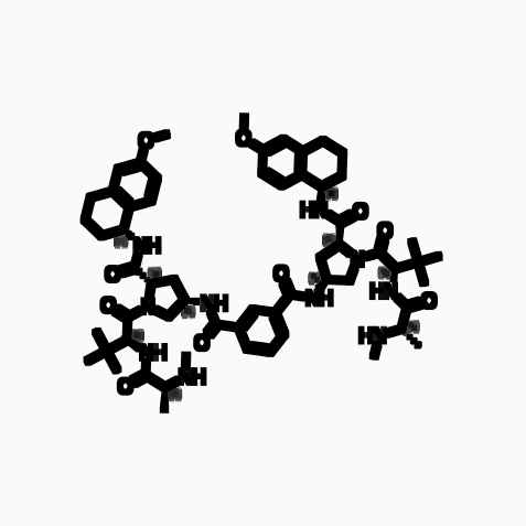 CN[C@@H](C)C(=O)N[C@H](C(=O)N1C[C@@H](NC(=O)c2cccc(C(=O)N[C@H]3C[C@@H](C(=O)N[C@@H]4CCCc5cc(OC)ccc54)N(C(=O)[C@@H](NC(=O)[C@H](C)NC)C(C)(C)C)C3)c2)C[C@H]1C(=O)N[C@@H]1CCCc2cc(OC)ccc21)C(C)(C)C